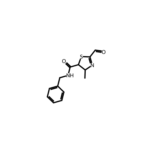 CC1N=C(C=O)SC1C(=O)NCc1ccccc1